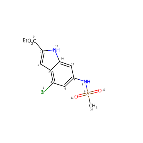 CCOC(=O)c1cc2c(Br)cc(NS(C)(=O)=O)cc2[nH]1